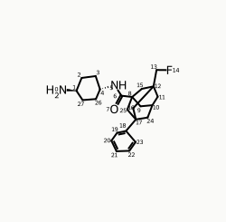 N[C@H]1CC[C@H](NC(=O)C23CC4CC(CF)(C2)CC(c2ccccc2)(C4)C3)CC1